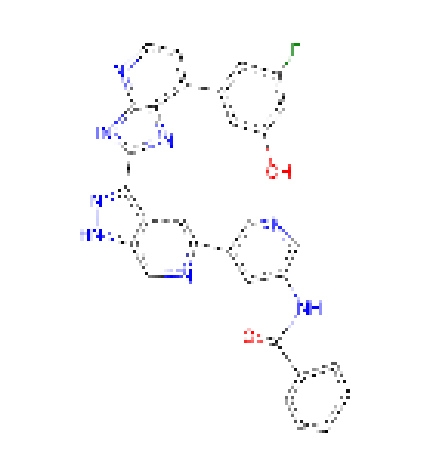 O=C(Nc1cncc(-c2cc3c(-c4nc5c(-c6cc(O)cc(F)c6)ccnc5[nH]4)n[nH]c3cn2)c1)c1ccccc1